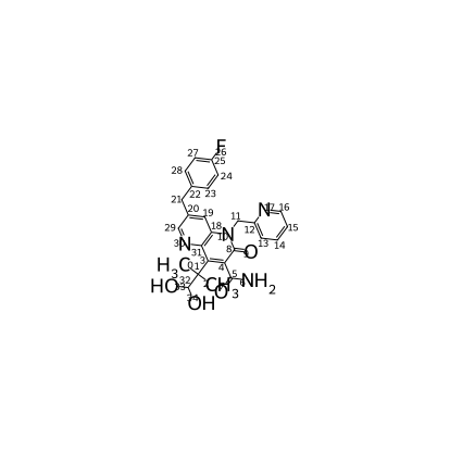 CC(C)(c1c(C(N)=O)c(=O)n(Cc2ccccn2)c2cc(Cc3ccc(F)cc3)cnc12)C(O)O